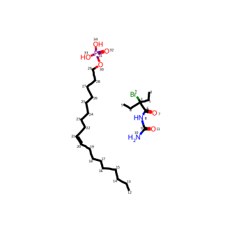 CCC(Br)(CC)C(=O)NC(N)=O.CCCCCCCC/C=C\CCCCCCCCOP(=O)(O)O